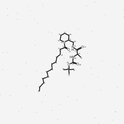 CCCCCCCCCCCCC(=O)N1CCCCC1CNC(=O)C(C)NC(=O)OC(C)(C)C